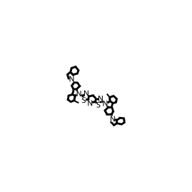 Cc1cccc2c3cc(-n4ccc5ccccc54)ccc3n(-c3nc4cc5nc(-n6c7ccc(-n8ccc9ccccc98)cc7c7cccc(C)c76)sc5nc4s3)c12